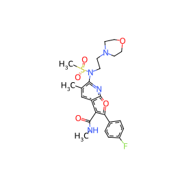 CNC(=O)c1c(-c2ccc(F)cc2)oc2nc(N(CCN3CCOCC3)S(C)(=O)=O)c(C)cc12